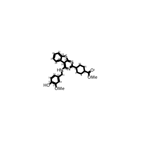 COC(=O)C1CCC(c2nc(NCc3ccc(O)c(OC)c3)c3c(n2)sc2ccccc23)CC1